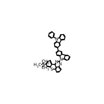 C[Si](C)(C)c1ccc2c(c1)Sc1cccc3nc(-n4c5ccccc5c5cc(-c6ccc7c(c6)c6ccccc6n7-c6ccccc6)ccc54)nc-2c13